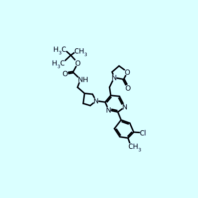 Cc1ccc(-c2ncc(CN3CCOC3=O)c(N3CCC(CNC(=O)OC(C)(C)C)C3)n2)cc1Cl